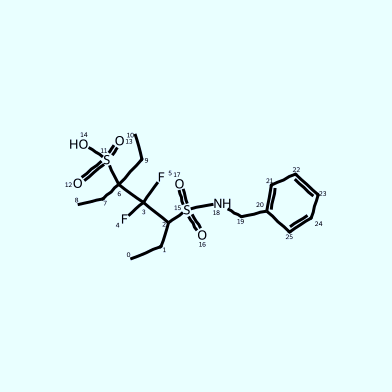 CCC(C(F)(F)C(CC)(CC)S(=O)(=O)O)S(=O)(=O)NCc1ccccc1